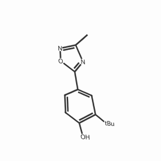 Cc1noc(-c2ccc(O)c(C(C)(C)C)c2)n1